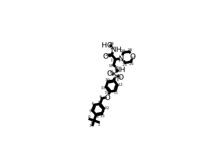 CC(C)(C)c1ccc(COc2ccc(S(=O)(=O)NCC(C(=O)NO)N3CCOCC3)cc2)cc1